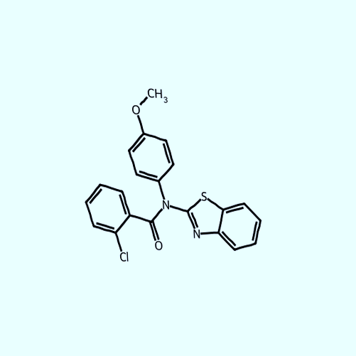 COc1ccc(N(C(=O)c2ccccc2Cl)c2nc3ccccc3s2)cc1